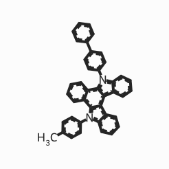 Cc1ccc(-n2c3ccccc3c3c4c5ccccc5n(-c5ccc(-c6ccccc6)cc5)c4c4ccccc4c32)cc1